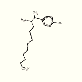 CC(CCCCCCCCC(=O)O)C(C)c1ccc(Br)cc1